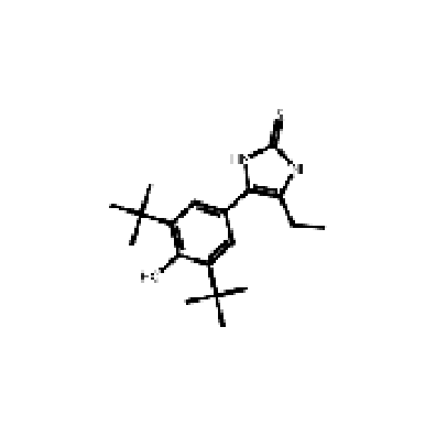 CCc1[nH]c(=S)[nH]c1-c1cc(C(C)(C)C)c(O)c(C(C)(C)C)c1